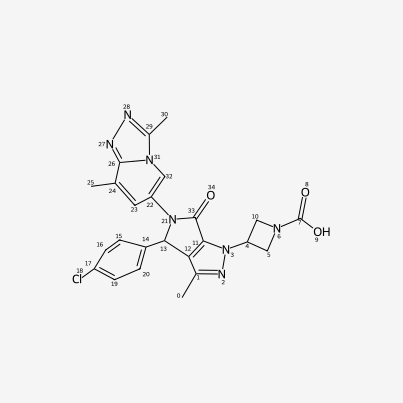 Cc1nn(C2CN(C(=O)O)C2)c2c1C(c1ccc(Cl)cc1)N(c1cc(C)c3nnc(C)n3c1)C2=O